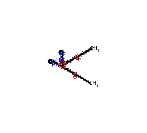 CCCCCCCCCCCC(=O)OCCCCCCCOCC(OC(=S)NCCCN1CCCCC1)C(COCCCCCCCOC(=O)CCCCCCCCCCC)OC(=S)NCCCN1CCCCC1